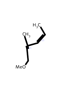 C/C=C\C(C)=C/COC